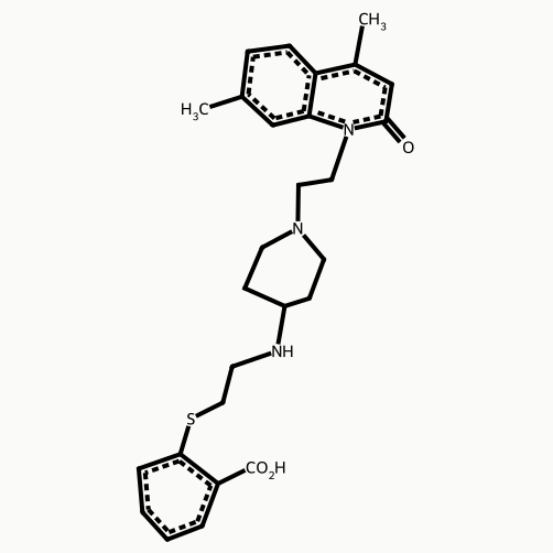 Cc1ccc2c(C)cc(=O)n(CCN3CCC(NCCSc4ccccc4C(=O)O)CC3)c2c1